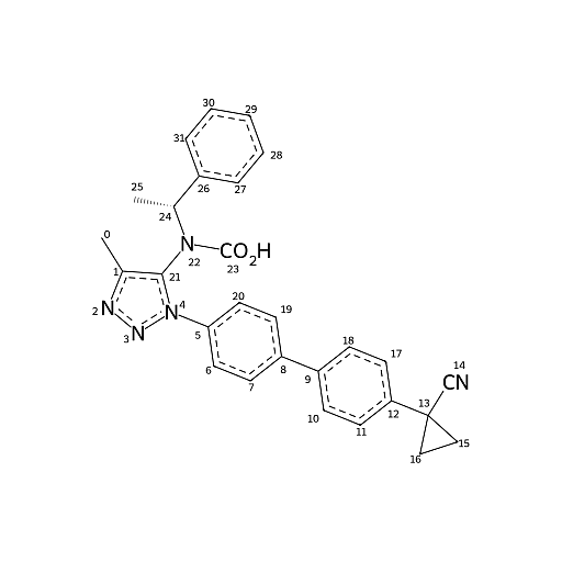 Cc1nnn(-c2ccc(-c3ccc(C4(C#N)CC4)cc3)cc2)c1N(C(=O)O)[C@H](C)c1ccccc1